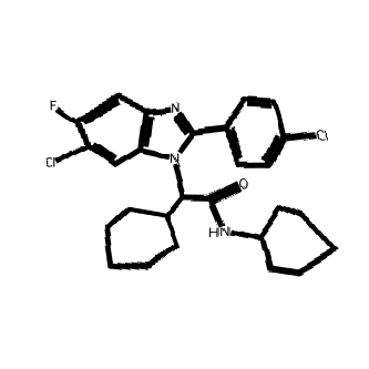 O=C(NC1CCCCC1)C(C1CCCCC1)n1c(-c2ccc(Cl)cc2)nc2cc(F)c(Cl)cc21